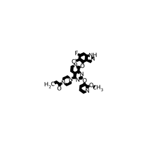 C=CC(=O)N1CCN(c2nc(Oc3cccnc3OC)nc3c(Oc4c(Cl)c(F)cc5[nH]ncc45)nccc23)CC1